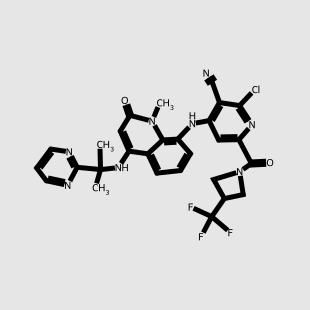 Cn1c(=O)cc(NC(C)(C)c2ncccn2)c2cccc(Nc3cc(C(=O)N4CC(C(F)(F)F)C4)nc(Cl)c3C#N)c21